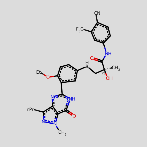 CCCc1nn(C)c2c(=O)[nH]c(-c3cc(BC[C@](C)(O)C(=O)Nc4ccc(C#N)c(C(F)(F)F)c4)ccc3OCC)nc12